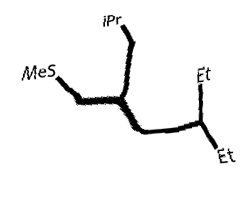 CCC(CC)CC(CSC)CC(C)C